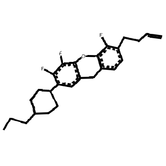 C=CCCc1ccc2c(c1F)Oc1c(cc(C3CCC(CCC)CC3)c(F)c1F)C2